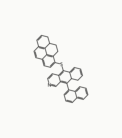 C1=CCC2C(=C1)C(Sc1ccc3ccc4c5c3c1CCC5CC=C4)=c1ccncc1=C2c1cccc2ccccc12